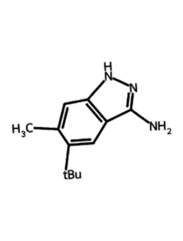 Cc1cc2[nH]nc(N)c2cc1C(C)(C)C